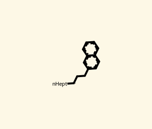 CCCCCCC[CH]CCc1ccc2ccccc2c1